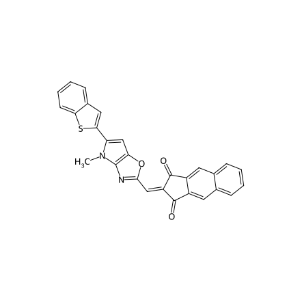 Cn1c(-c2cc3ccccc3s2)cc2oc(C=C3C(=O)c4cc5ccccc5cc4C3=O)nc21